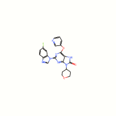 O=c1[nH]c2c(Oc3cccnc3)nc(-n3cnc4ccc(F)cc43)nc2n1C1CCOCC1